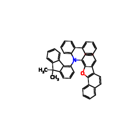 CC1(C)c2ccccc2-c2c(N(c3ccccc3-c3ccccc3)c3cccc4c3oc3c5ccccc5ccc43)cccc21